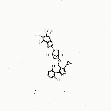 Cc1c(C(=O)O)cc2sc(N3C[C@@H]4C[C@H]3C[C@@H]4OCc3c(-c4c(Cl)cccc4Cl)noc3C3CC3)nc2c1F